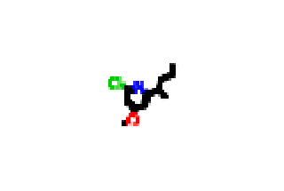 CCCC(C)c1cc(OC)cc(Cl)n1